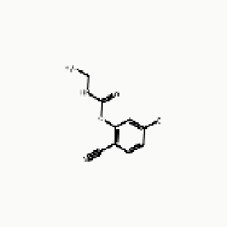 CCNC(=O)Oc1cc(Cl)ccc1C#N